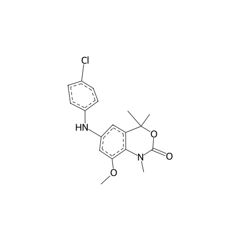 COc1cc(Nc2ccc(Cl)cc2)cc2c1N(C)C(=O)OC2(C)C